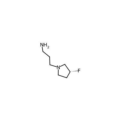 NCCCN1CC[C@@H](F)C1